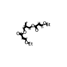 CCOC=CC(=O)OCC(C)COC(=O)C=COCC